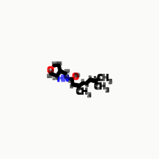 CC(C)=CCC/C(C)=C\C(=O)NCC1CCOCC1